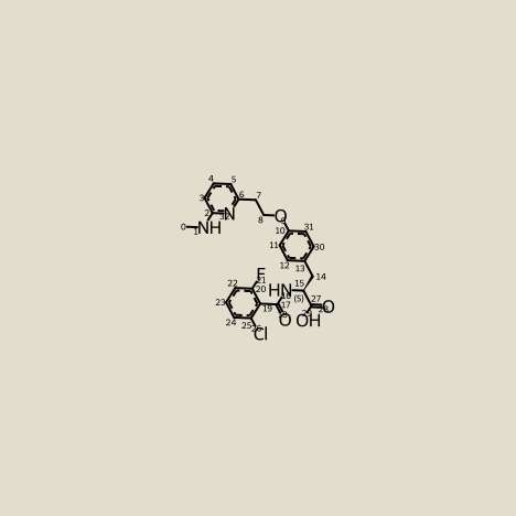 CNc1cccc(CCOc2ccc(C[C@H](NC(=O)c3c(F)cccc3Cl)C(=O)O)cc2)n1